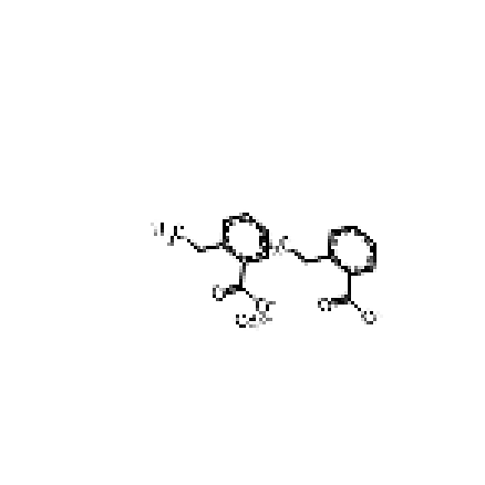 CCc1ccccc1C(=O)[O-].CCc1ccccc1C(=O)[O-].[Cd+2]